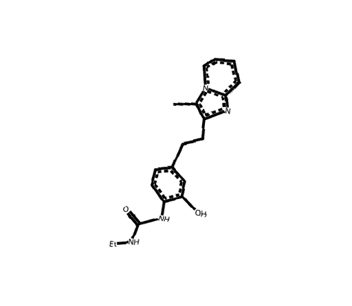 CCNC(=O)Nc1ccc(CCc2nc3ccccn3c2C)cc1O